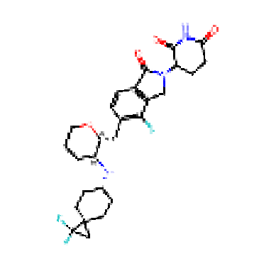 O=C1CCC(N2Cc3c(ccc(C[C@H]4OCCC[C@@H]4N[C@H]4CC[C@@]5(CC4)CC5(F)F)c3F)C2=O)C(=O)N1